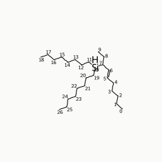 CCCCCC=CC(CC)[SiH](CCCCCCCC)CCCCCCCC